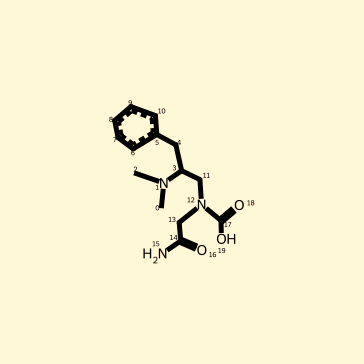 CN(C)C(Cc1ccccc1)CN(CC(N)=O)C(=O)O